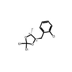 [CH2][C@H]1OC(CC)(CC)O[C@@H]1Cc1ccccc1Cl